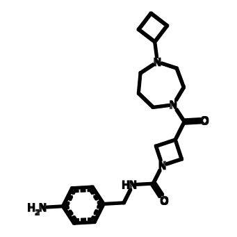 Nc1ccc(CNC(=O)N2CC(C(=O)N3CCCN(C4CCC4)CC3)C2)cc1